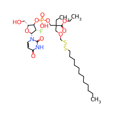 CCCCCCCCCCCCSSCOCC(CC)(COP(=O)(O)OC1[C@@H](CO)O[C@@H](n2ccc(=O)[nH]c2=O)[C@H]1F)C(=O)OCC